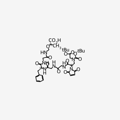 C[C@H](OCNC(=O)CNC(=O)[C@H](Cc1ccccc1)NC(=O)CNC(=O)CNC(=O)[C@@H](CN(CC(=O)OC(C)(C)C)C(=O)OC(C)(C)C)N1C(=O)C=CC1=O)C(=O)O